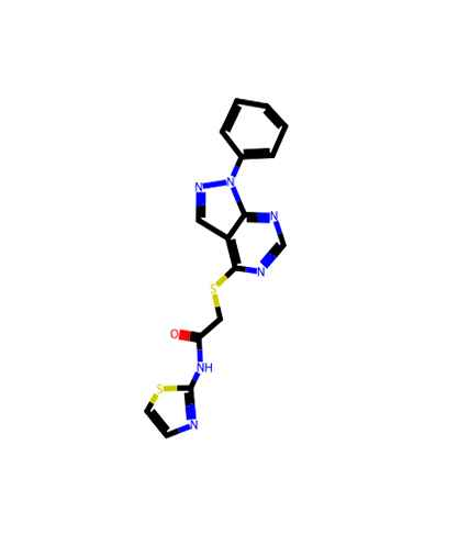 O=C(CSc1ncnc2c1cnn2-c1ccccc1)Nc1nccs1